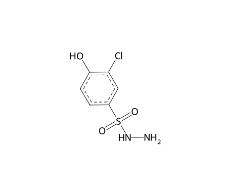 NNS(=O)(=O)c1ccc(O)c(Cl)c1